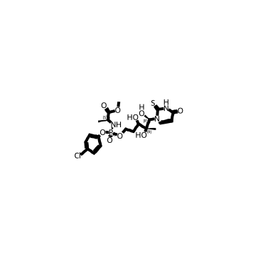 COC(=O)[C@H](C)N[P@](=O)(OCCC(O)[C@@](C)(O)[C@@H](O)n1ccc(=O)[nH]c1=S)Oc1ccc(Cl)cc1